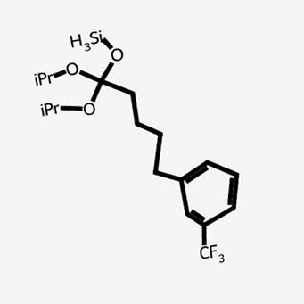 CC(C)OC(CCCCc1cccc(C(F)(F)F)c1)(O[SiH3])OC(C)C